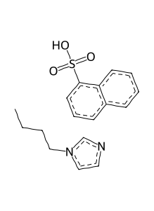 CCCCn1ccnc1.O=S(=O)(O)c1cccc2ccccc12